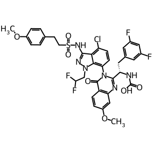 COc1ccc(CCS(=O)(=O)Nc2nn(CC(F)F)c3c(-n4c([C@H](Cc5cc(F)cc(F)c5)NC(=O)O)nc5cc(OC)ccc5c4=O)ccc(Cl)c23)cc1